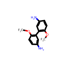 Nc1ccc(OC(F)(F)F)c(-c2cc(N)ccc2OC(F)(F)F)c1